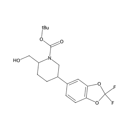 CC(C)(C)OC(=O)N1CC(c2ccc3c(c2)OC(F)(F)O3)CCC1CO